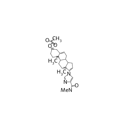 CNC(=O)c1cn(C2=CCC3C4CC=C5C[C@@H](OS(C)(=O)=O)CC[C@]5(C)C4CC[C@]23C)cn1